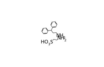 NCCC(c1ccccc1)c1ccccc1.NCCS(=O)(=O)O